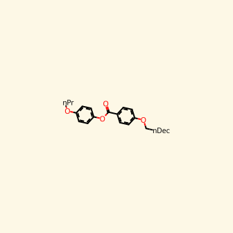 CCCCCCCCCCCOc1ccc(C(=O)Oc2ccc(OCCC)cc2)cc1